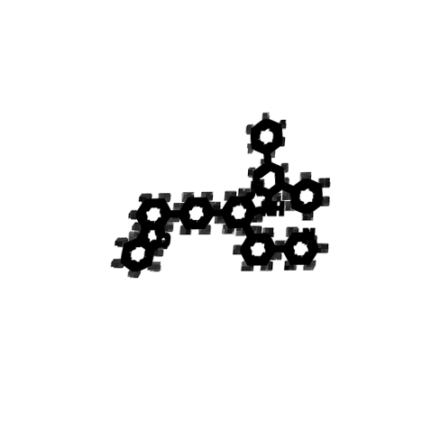 C1=C(c2ccccc2)C=C(c2ccccc2)C2Nc3c(-c4cccc(-c5cccnc5)c4)cc(-c4ccc(-c5cccc6c5oc5ccccc56)cc4)cc3N12